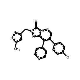 Cc1cc(Cn2nc3c(-c4ccncc4)c(-c4ccc(Cl)cc4)cnn3c2=O)no1